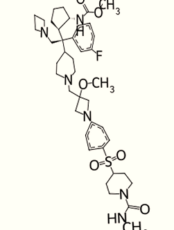 CNC(=O)N1CCC(S(=O)(=O)c2ccc(N3CC(CN4CCC([C@@](CN5CCC5)(c5cccc(F)c5)[C@H]5CCC[C@@H]5NC(=O)OC)CC4)(OC)C3)cc2)CC1